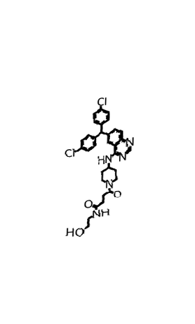 O=C(CCC(=O)N1CCC(Nc2ncnc3ccc(C(c4ccc(Cl)cc4)c4ccc(Cl)cc4)cc23)CC1)NCCO